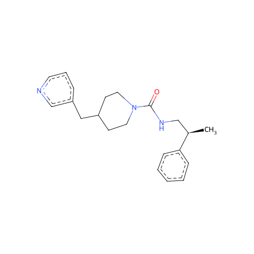 C[C@H](CNC(=O)N1CCC(Cc2cccnc2)CC1)c1ccccc1